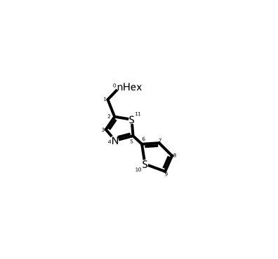 CCCCCCCc1cnc(-c2cccs2)s1